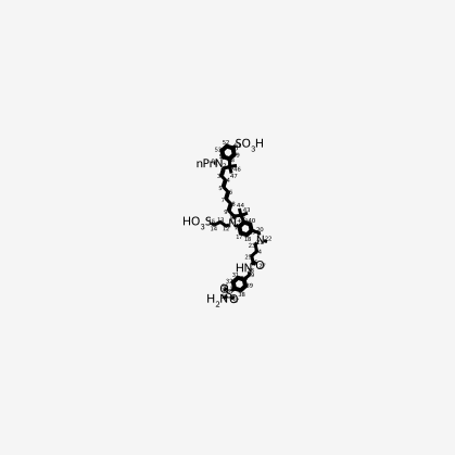 CCCN1/C(=C/C=C/C=C/C=C/C2=[N+](CCCS(=O)(=O)O)c3ccc(CN(C)CCCC(=O)NCc4ccc(S(N)(=O)=O)cc4)cc3C2(C)C)C(C)(C)c2cc(S(=O)(=O)O)ccc21